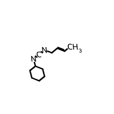 CC=CCN=C=NC1CCCCC1